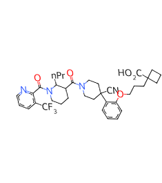 CCCC1C(C(=O)N2CCC(C#N)(c3ccccc3OCCCC3(C(=O)O)CCC3)CC2)CCCN1C(=O)c1ncccc1C(F)(F)F